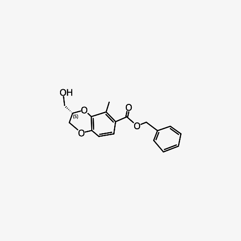 Cc1c(C(=O)OCc2ccccc2)ccc2c1O[C@@H](CO)CO2